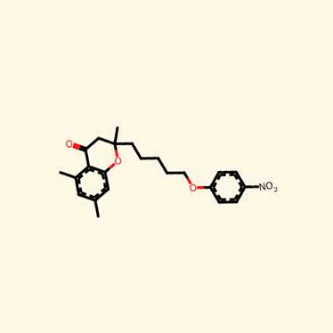 Cc1cc(C)c2c(c1)OC(C)(CCCCCOc1ccc([N+](=O)[O-])cc1)CC2=O